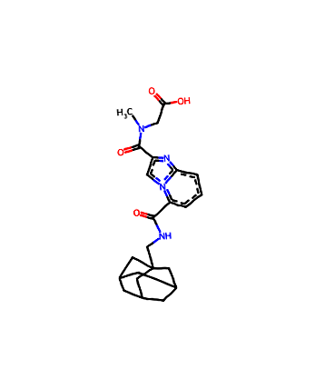 CN(CC(=O)O)C(=O)c1cn2c(C(=O)NCC34CC5CC(CC(C5)C3)C4)cccc2n1